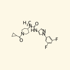 CN(C(=O)Nc1cnn(-c2cc(F)cc(F)c2)c1)C1CCN(C(=O)C2CC2)CC1